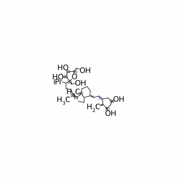 C=C1/C(=C\C=C2CCC[C@@]3(C)C2CC[C@@H]3[C@H](C)CCC(C(C)C)[C@@]2(CO)O[C@H](CO)[C@@H](O)[C@@H]2O)C[C@@H](O)C[C@H]1O